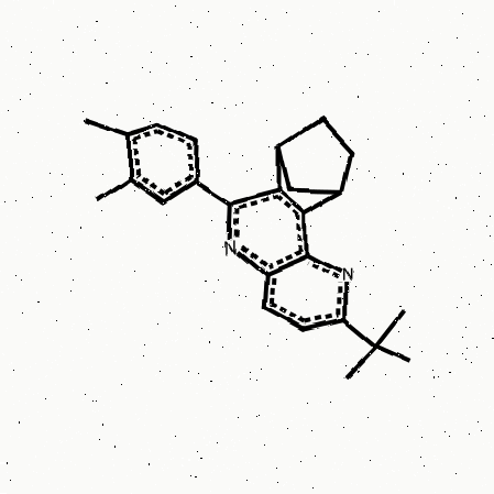 Cc1ccc(-c2nc3ccc(C(C)(C)C)nc3c3c2C2CCC3C2)cc1C